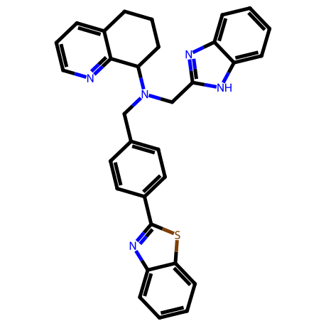 c1cnc2c(c1)CCCC2N(Cc1ccc(-c2nc3ccccc3s2)cc1)Cc1nc2ccccc2[nH]1